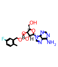 Cc1ccc(F)cc1COB1OC2[C@@H](CO)O[C@@H](n3cnc4c(N)ncnc43)[C@H]2O1